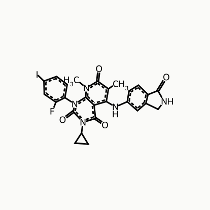 Cc1c(Nc2ccc3c(c2)CNC3=O)c2c(=O)n(C3CC3)c(=O)n(-c3ccc(I)cc3F)c2n(C)c1=O